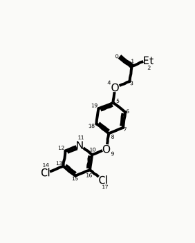 C=C(CC)COc1ccc(Oc2ncc(Cl)cc2Cl)cc1